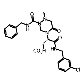 CN1CC(=O)N([C@@H](CC(=O)O)C(=O)NCc2cccc(Cl)c2)CN1C(=O)NCc1ccccc1